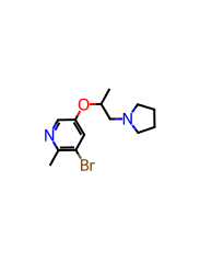 Cc1ncc(OC(C)CN2CCCC2)cc1Br